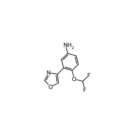 Nc1ccc(OC(F)F)c(-c2cocn2)c1